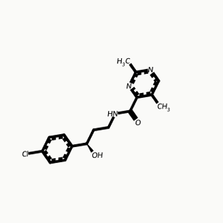 Cc1ncc(C)c(C(=O)NCC[C@@H](O)c2ccc(Cl)cc2)n1